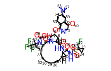 COc1cnc(O[C@@H]2C[C@H]3C(=O)N[C@]4(C(=O)NS(=O)(=O)C5(CF)CC5)C[C@H]4/C=C\CC[C@H](C)C[C@@H](C)[C@H](N(C(=O)O)C(C)(C)C(F)(F)F)C(=O)N3C2)c2ccc(N(C)C)cc12